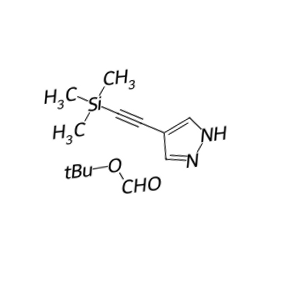 CC(C)(C)OC=O.C[Si](C)(C)C#Cc1cn[nH]c1